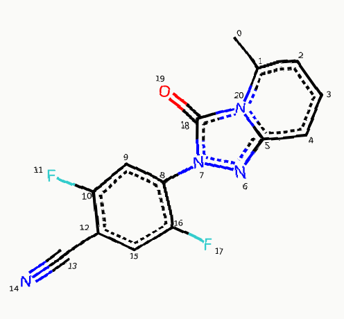 Cc1cccc2nn(-c3cc(F)c(C#N)cc3F)c(=O)n12